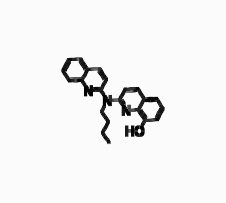 CCCCN(c1ccc2ccccc2n1)c1ccc2cccc(O)c2n1